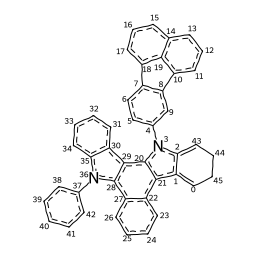 C1=c2c(n(-c3ccc4c(c3)-c3cccc5cccc-4c35)c3c2c2ccccc2c2c3c3ccccc3n2-c2ccccc2)=CCC1